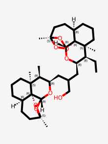 CC[C@H]1[C@@H](CC(CO)C[C@H]2O[C@@H]3O[C@]4(C)CC[C@H]5CCC[C@@](C)([C@H]2C)[C@]53OO4)O[C@@H]2O[C@]3(C)CC[C@H]4CCC[C@]1(C)[C@]42OO3